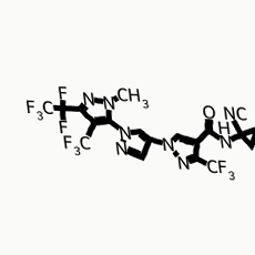 Cn1nc(C(F)(F)C(F)(F)F)c(C(F)(F)F)c1-n1cc(-n2cc(C(=O)NC3(C#N)CC3)c(C(F)(F)F)n2)cn1